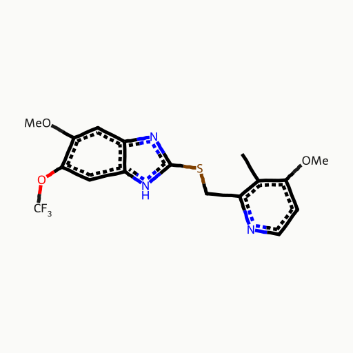 COc1cc2nc(SCc3nccc(OC)c3C)[nH]c2cc1OC(F)(F)F